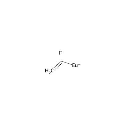 C=[CH][Eu+].[I-]